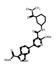 CCN(C)C(=O)C1CCCC(NC(=O)c2cc(-c3ccc4c(C(=O)NC)n[nH]c4c3)cnc2OC)C1